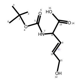 CC(C)(C)OC(=O)NC(/C=C/CO)C(=O)O